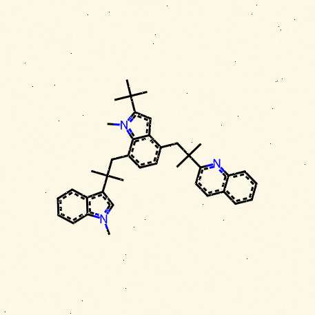 Cn1cc(C(C)(C)Cc2ccc(CC(C)(C)c3ccc4ccccc4n3)c3cc(C(C)(C)C)n(C)c23)c2ccccc21